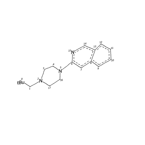 CC(C)(C)CN1CCN(c2cc3ccccc3cn2)CC1